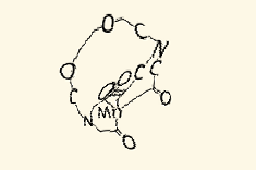 O=[C]1CN2CCOCCOCCN3C[C](=O)[Mn]1([C](=O)C2)[C](=O)C3